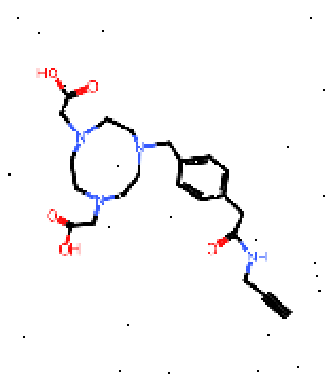 C#CCNC(=O)Cc1ccc(CN2CCN(CC(=O)O)CCN(CC(=O)O)CC2)cc1